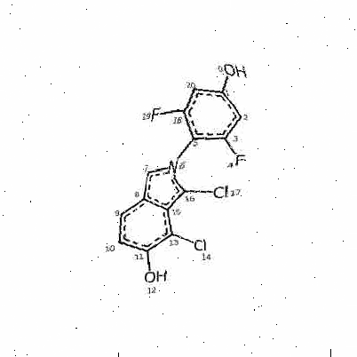 Oc1cc(F)c(-n2cc3ccc(O)c(Cl)c3c2Cl)c(F)c1